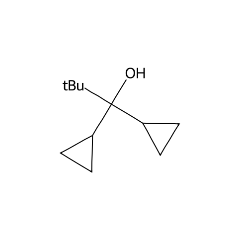 CC(C)(C)C(O)(C1CC1)C1CC1